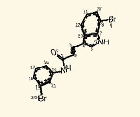 O=C(/C=C/c1c[nH]c2c(Br)cccc12)Nc1cccc(Br)c1